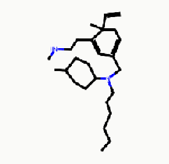 C=CC1(C)CC=C(CN(CCCCCC)C2CCC(C)CC2)C=C1CCNC